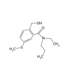 CCCN(CC)C(=O)c1cc(SC)ccc1CO